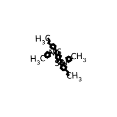 C/C=C/c1ccc2c3sc4cc5c(cc4c3n(-c3ccc(C)cc3)c2c1)sc1c2ccc(/C=C/C)cc2n(-c2ccc(C)cc2)c51